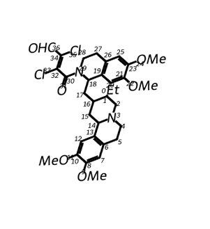 CCC1CN2CCc3cc(OC)c(OC)cc3C2CC1CC1c2cc(OC)c(OC)cc2CCN1C(=O)/C(Cl)=C(\Cl)C=O